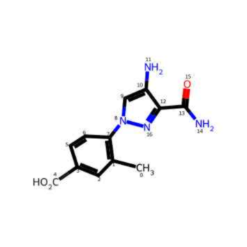 Cc1cc(C(=O)O)ccc1-n1cc(N)c(C(N)=O)n1